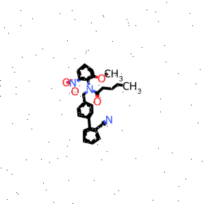 CCCCC(=O)N(Cc1ccc(-c2ccccc2C#N)cc1)c1c(OC)cccc1[N+](=O)[O-]